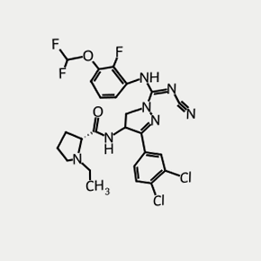 CCN1CCC[C@@H]1C(=O)NC1CN(C(=NC#N)Nc2cccc(OC(F)F)c2F)N=C1c1ccc(Cl)c(Cl)c1